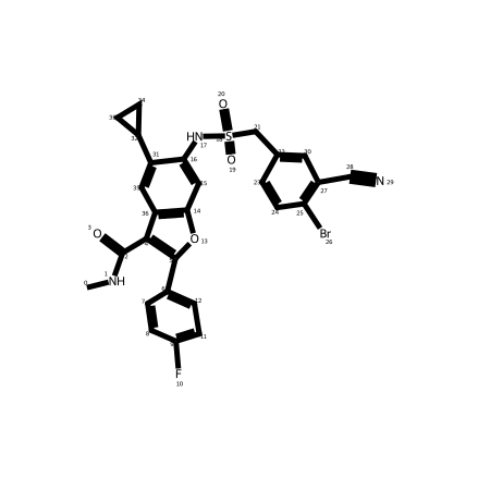 CNC(=O)c1c(-c2ccc(F)cc2)oc2cc(NS(=O)(=O)Cc3ccc(Br)c(C#N)c3)c(C3CC3)cc12